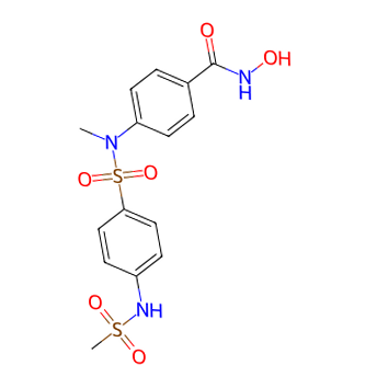 CN(c1ccc(C(=O)NO)cc1)S(=O)(=O)c1ccc(NS(C)(=O)=O)cc1